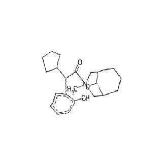 CN1CC2CCCC(C1)C2OC(=O)C(c1ccccc1O)C1CCCC1